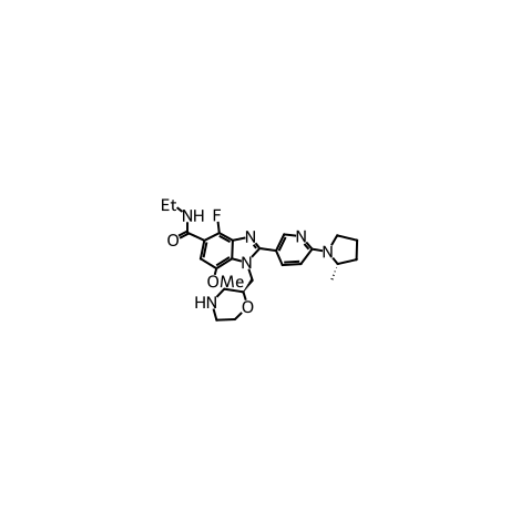 CCNC(=O)c1cc(OC)c2c(nc(-c3ccc(N4CCC[C@@H]4C)nc3)n2C[C@@H]2CNCCO2)c1F